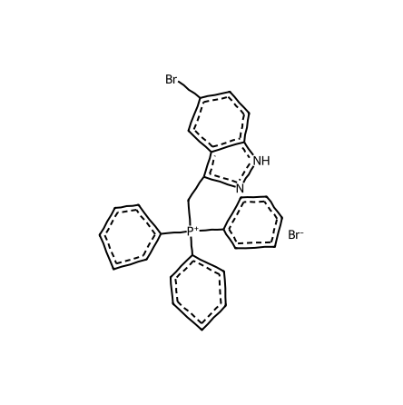 Brc1ccc2[nH]nc(C[P+](c3ccccc3)(c3ccccc3)c3ccccc3)c2c1.[Br-]